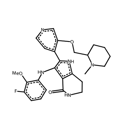 COc1c(F)cccc1Nc1c(-c2ccncc2OCC2CCCCN2C)[nH]c2c1C(=O)NCC2